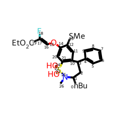 CCCCC1CC(c2ccccc2)c2cc(SC)c(O/C=C(\F)C(=O)OCC)cc2S(O)(O)N1C